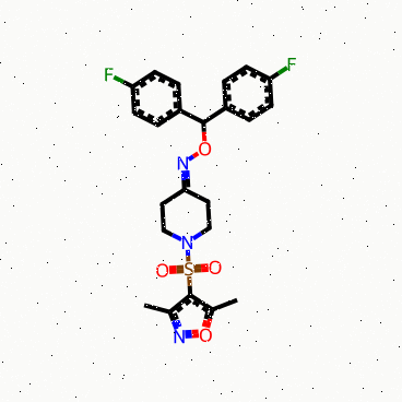 Cc1noc(C)c1S(=O)(=O)N1CCC(=NOC(c2ccc(F)cc2)c2ccc(F)cc2)CC1